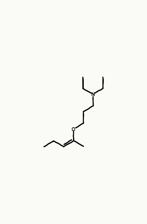 CCC=C(C)OCCCN(CC)CC